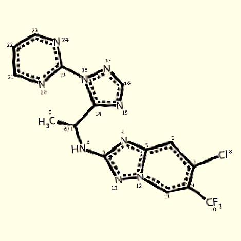 C[C@H](Nc1nc2cc(Cl)c(C(F)(F)F)cn2n1)c1ncnn1-c1ncccn1